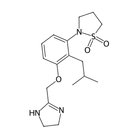 CC(C)Cc1c(OCC2=NCCN2)cccc1N1CCCS1(=O)=O